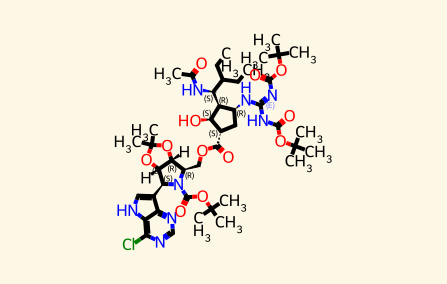 CCC(CC)[C@H](NC(C)=O)[C@@H]1[C@H](O)[C@@H](C(=O)OC[C@@H]2[C@H]3OC(C)(C)O[C@H]3[C@H](c3c[nH]c4c(Cl)ncnc34)N2C(=O)OC(C)(C)C)C[C@H]1N/C(=N\C(=O)OC(C)(C)C)NC(=O)OC(C)(C)C